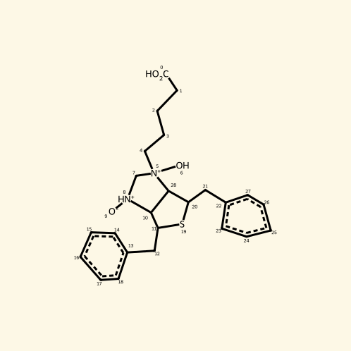 O=C(O)CCCC[N+]1(O)C[NH+]([O-])C2C(Cc3ccccc3)SC(Cc3ccccc3)C21